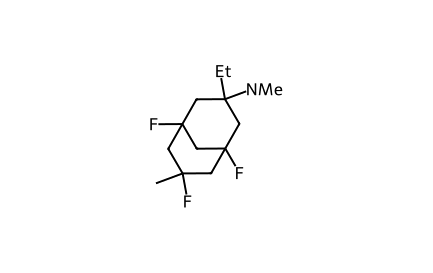 CCC1(NC)CC2(F)CC(C)(F)CC(F)(C2)C1